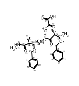 CC[C@H](C(=O)NN)[C@H](C)OCc1ccccc1.CC[C@H](C(=O)NN)[C@H](C)OCc1ccccc1.O=C(O)C(=O)O